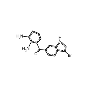 Nc1cccc(C(=O)c2ccc3c(Br)c[nH]c3c2)c1N